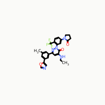 CCNc1cc(-c2cc(C)cc(-c3cnco3)c2)nn(-c2cc(N3CCCC3=O)ccc2C(F)(F)F)c1=O